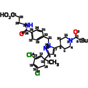 CC(C)(C)C(=O)N1CCC(c2cc(C3(C)C=C(Cl)C=C(Cl)C3)nn2Cc2ccc(C(=O)NCCC(=O)O)cc2)CC1